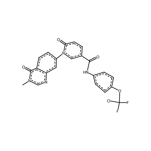 Cn1cnc2cc(-n3cc(C(=O)Nc4ccc(OC(F)(F)Cl)cc4)ccc3=O)ccc2c1=O